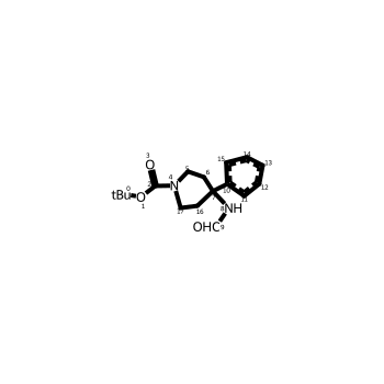 CC(C)(C)OC(=O)N1CCC(NC=O)(c2ccccc2)CC1